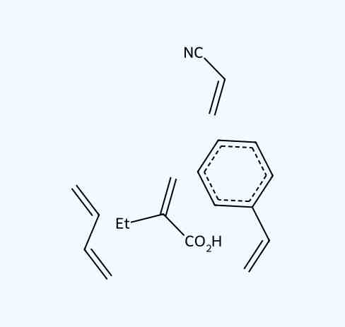 C=C(CC)C(=O)O.C=CC#N.C=CC=C.C=Cc1ccccc1